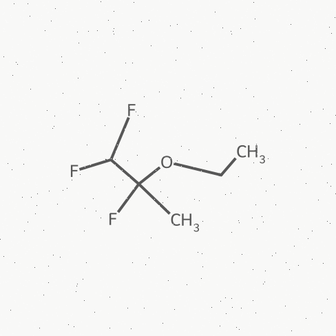 CCOC(C)(F)[C](F)F